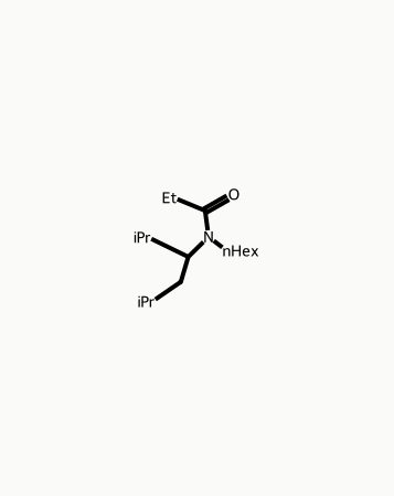 CCCCCCN(C(=O)CC)C(CC(C)C)C(C)C